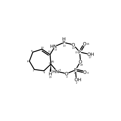 O=P1(O)ON[C@@H]2CCCCC=C2NPOP(=O)(O)O1